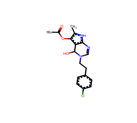 Cc1[nH]c2c(c1OC(=O)C(C)(C)C)C(O)N(CCc1ccc(Cl)cc1)C=N2